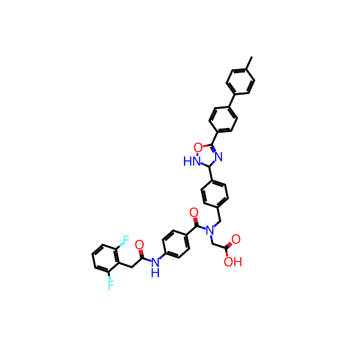 Cc1ccc(-c2ccc(C3=NC(c4ccc(CN(CC(=O)O)C(=O)c5ccc(NC(=O)Cc6c(F)cccc6F)cc5)cc4)NO3)cc2)cc1